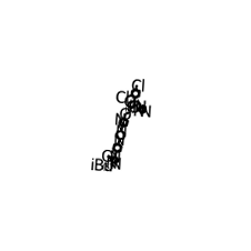 CC[C@H](C)n1ncn(-c2ccc(N3CCN(c4ccc(OC[C@@H]5CO[C@@](Cn6cncn6)(c6ccc(Cl)cc6Cl)O5)nc4)CC3)cc2)c1=O